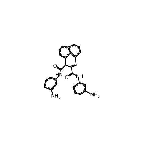 Nc1cccc(NC(=O)C2=Cc3cccc4cccc(c34)C2C(=O)Nc2cccc(N)c2)c1